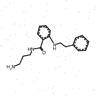 NCCCNC(=O)c1ccccc1NCCc1ccccc1